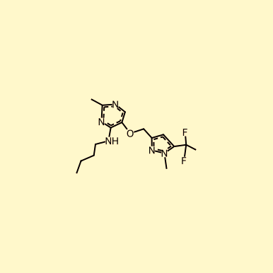 CCCCNc1nc(C)ncc1OCc1cc(C(C)(F)F)n(C)n1